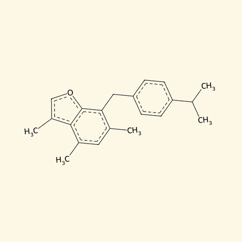 Cc1cc(C)c2c(C)coc2c1Cc1ccc(C(C)C)cc1